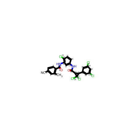 Cc1cc(C#N)ccc1C(=O)Nc1cc(NC(=O)C2C(c3cc(Cl)cc(Cl)c3)C2(Cl)Cl)ccc1Cl